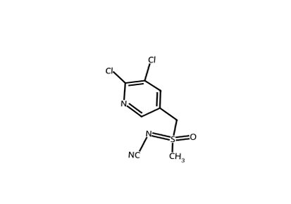 CS(=O)(Cc1cnc(Cl)c(Cl)c1)=NC#N